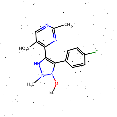 CCON1C(c2ccc(F)cc2)=C(c2nc(C)ncc2S(=O)(=O)O)NN1C